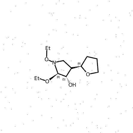 CCO[C@@H]1[C@@H](O)C([C@H]2CCCO2)CN1OCC